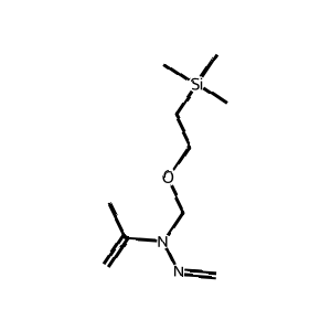 C=NN(COCC[Si](C)(C)C)C(=C)C